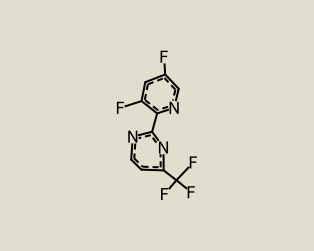 Fc1cnc(-c2nccc(C(F)(F)F)n2)c(F)c1